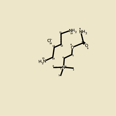 C[N+](C)(C)CCOC(N)=O.NCCCCN.[Cl-]